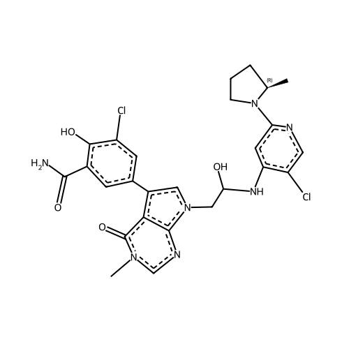 C[C@@H]1CCCN1c1cc(NC(O)Cn2cc(-c3cc(Cl)c(O)c(C(N)=O)c3)c3c(=O)n(C)cnc32)c(Cl)cn1